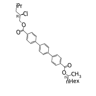 CCCCCC[C@H](C)OC(=O)c1ccc(-c2ccc(-c3ccc(C(=O)OC[C@H](Cl)CC(C)C)cc3)cc2)cc1